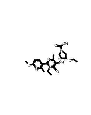 CCO[C@H]1CN(C(=O)O)C[C@H]1Nc1c(C)nc(-c2ccc(OC)nc2C)n(CC)c1=O